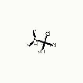 C[SH](C)C(Cl)(Cl)Cl